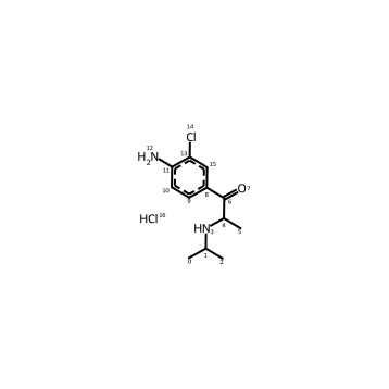 CC(C)NC(C)C(=O)c1ccc(N)c(Cl)c1.Cl